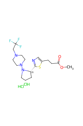 COC(=O)CCc1cnc([C@@H]2CCCN2N2CCN(CC(F)(F)F)CC2)s1.Cl.Cl